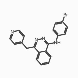 Brc1ccc(Nc2nnc(Cc3ccncc3)c3ccccc23)cc1